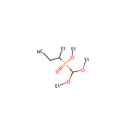 CCOC(OCC)P(=O)(OCC)C(CC)CC#N